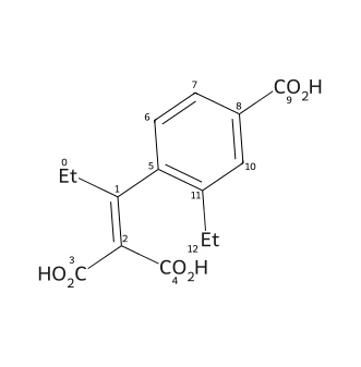 CCC(=C(C(=O)O)C(=O)O)c1ccc(C(=O)O)cc1CC